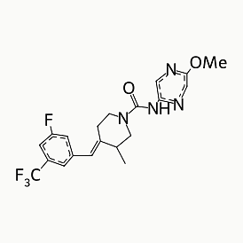 COc1cnc(NC(=O)N2CC/C(=C\c3cc(F)cc(C(F)(F)F)c3)C(C)C2)cn1